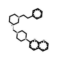 c1ccc(CCN2CCC[C@@H](CN3CCN(c4ccc5cccnc5n4)CC3)C2)cc1